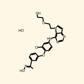 C/C(=N\O)c1cccc(Oc2ccc(Nc3ncnc4ccn(CCOCCO)c34)cc2Cl)c1.Cl